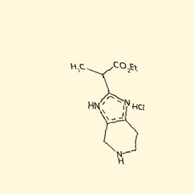 CCOC(=O)C(C)c1nc2c([nH]1)CNCC2.Cl